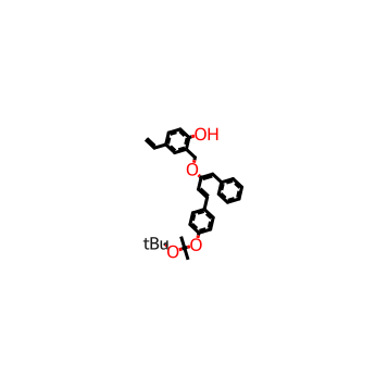 C=Cc1ccc(O)c(COC(C=Cc2ccc(OC(C)(C)OC(C)(C)C)cc2)=Cc2ccccc2)c1